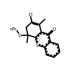 CCCOC1(C)CC(Cl)=C(C)c2c1sc1ccccc1c2=O